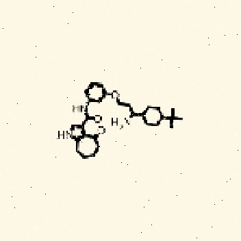 CC(C)(C)C1CCC(C(N)CCOc2cccc(NC(=O)c3c[nH]c4c3C(=O)CCCC4)c2)CC1